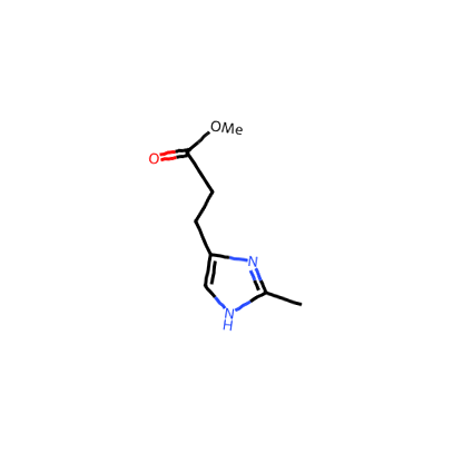 COC(=O)CCc1c[nH]c(C)n1